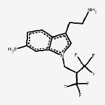 Bc1ccc2c(CCN)cn(CC(C(F)(F)F)C(F)(F)F)c2c1